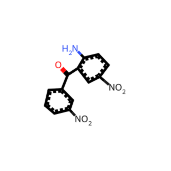 Nc1ccc([N+](=O)[O-])cc1C(=O)c1cccc([N+](=O)[O-])c1